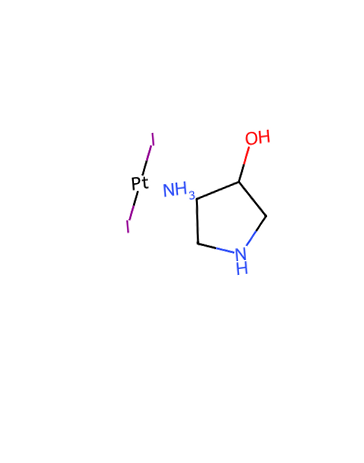 N.OC1CCNC1.[I][Pt][I]